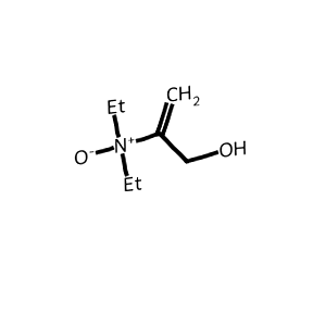 C=C(CO)[N+]([O-])(CC)CC